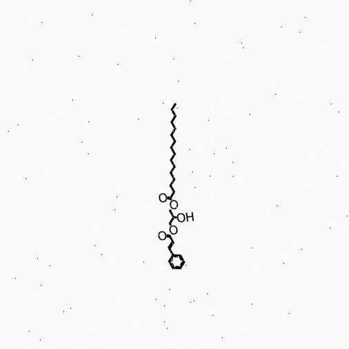 CCCCCCCCCCCCCCCC(=O)OCC(O)COC(=O)/C=C/c1ccccc1